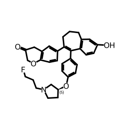 O=C1COc2ccc(C3=C(c4ccc(O[C@H]5CCN(CCCF)C5)cc4)c4ccc(O)cc4CCC3)cc2C1